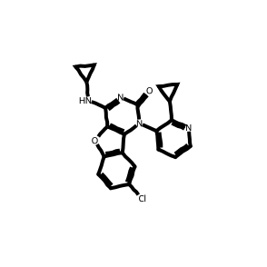 O=c1nc(NC2CC2)c2oc3ccc(Cl)cc3c2n1-c1cccnc1C1CC1